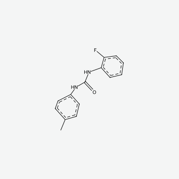 Cc1ccc(NC(=O)Nc2ccccc2F)cc1